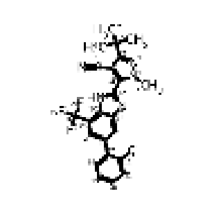 Cn1nc(C(C)(C)C)c(C#N)c1-c1nc2cc(-c3ccccc3Cl)cc(C(F)(F)F)c2[nH]1